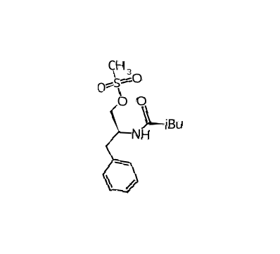 CC[C@H](C)C(=O)N[C@H](COS(C)(=O)=O)Cc1ccccc1